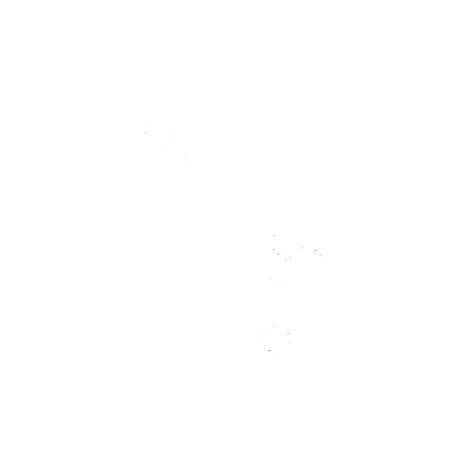 CN(C)C[C@@H](CC(=O)OCc1ccccc1)NC(=O)CCCCCCCCS(=O)(=O)c1ccccc1